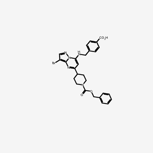 O=C(O)c1ccc(CNc2cc(C3CCN(C(=O)OCc4ccccc4)CC3)nc3c(Br)cnn23)cc1